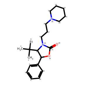 CCC(C)(C)C1C(c2ccccc2)OC(=O)N1CCCN1CCCCC1